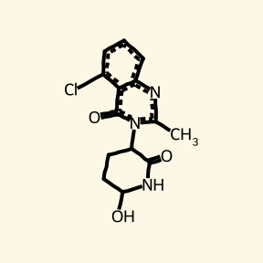 Cc1nc2cccc(Cl)c2c(=O)n1C1CCC(O)NC1=O